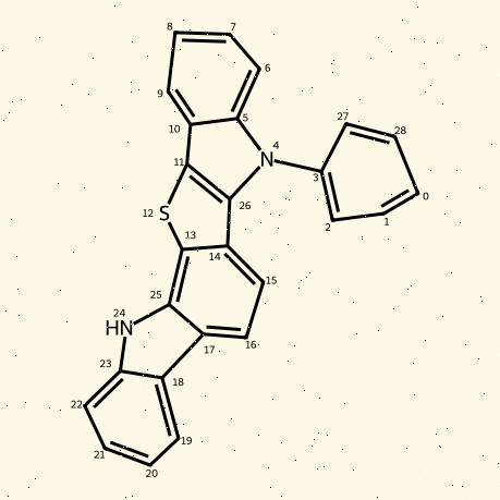 c1ccc(-n2c3ccccc3c3sc4c(ccc5c6ccccc6[nH]c54)c32)cc1